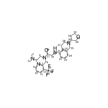 CN(C)CCN(Cc1ncccc1C(F)(F)F)C(=O)CNc1cccc2c1CCN(C1CCOC1)C2